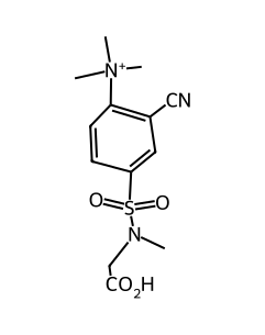 CN(CC(=O)O)S(=O)(=O)c1ccc([N+](C)(C)C)c(C#N)c1